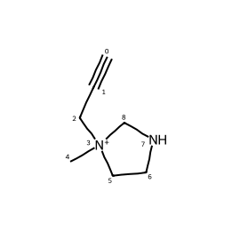 C#CC[N+]1(C)CCNC1